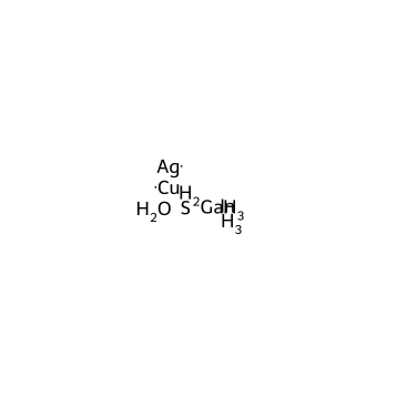 O.S.[Ag].[Cu].[GaH3].[InH3]